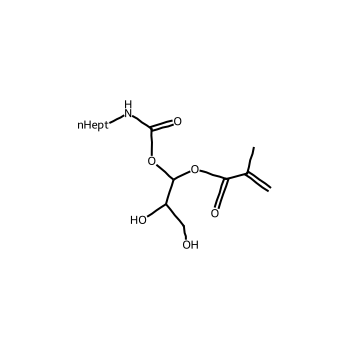 C=C(C)C(=O)OC(OC(=O)NCCCCCCC)C(O)CO